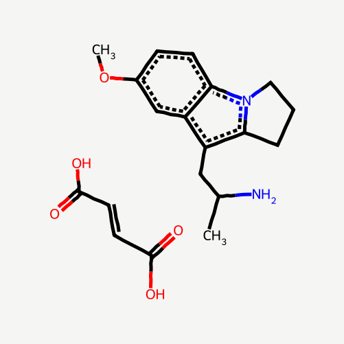 COc1ccc2c(c1)c(CC(C)N)c1n2CCC1.O=C(O)/C=C/C(=O)O